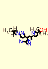 C[C@@H]1[C@H]2CN(c3ccc(-c4cc(-c5ccc(C(C)(C)O)cn5)cn5ncc(C#N)c45)cn3)C[C@@H]12